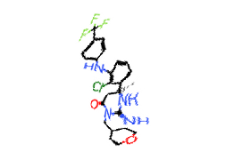 C[C@@]1(c2cccc(Nc3ccc(C(F)(F)F)cc3)c2Cl)CC(=O)N(CC2CCOCC2)C(=N)N1